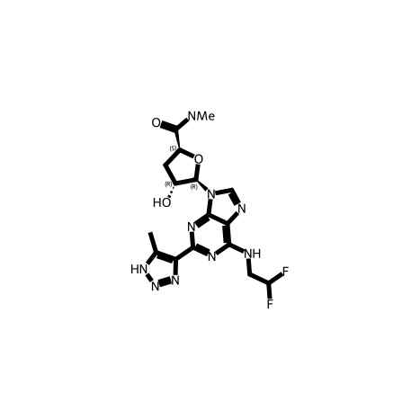 CNC(=O)[C@@H]1C[C@@H](O)[C@H](n2cnc3c(NCC(F)F)nc(-c4nn[nH]c4C)nc32)O1